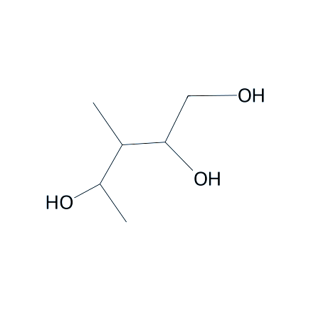 CC(O)C(C)C(O)CO